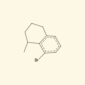 CC1CCCc2cccc(Br)c21